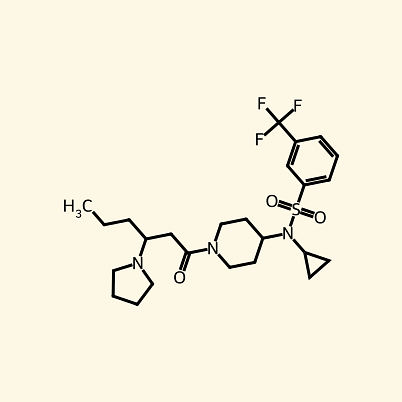 CCCC(CC(=O)N1CCC(N(C2CC2)S(=O)(=O)c2cccc(C(F)(F)F)c2)CC1)N1CCCC1